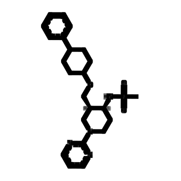 CS(=O)(=O)N[C@H]1CCN(c2ncccn2)C[C@H]1COC1CCC(c2ccccc2)CC1